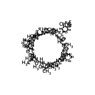 CC[C@H](C)[C@@H]1NC(=O)[C@H](CC(C)C)N(C)C(=O)C[C@@H](C(=O)N2CCCCC2)N(C)C(=O)[C@H](C(C)C)N(C)C(=O)C2(CCCC2)NC(=O)[C@H](C)N(C)C(=O)[C@H](CCc2ccc(C(F)(F)F)c(Cl)c2)NC(=O)CN(C)C(=O)[C@H](CC2CCCCC2)N(C)C(=O)[C@@H]2CCN2C(=O)[C@H](C)N(C)C1=O